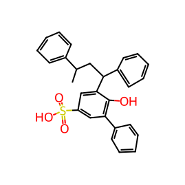 CC(CC(c1ccccc1)c1cc(S(=O)(=O)O)cc(-c2ccccc2)c1O)c1ccccc1